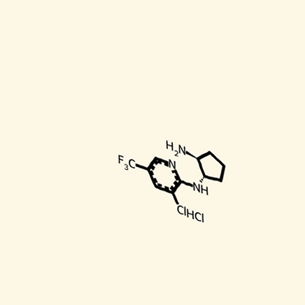 Cl.N[C@H]1CCC[C@@H]1Nc1ncc(C(F)(F)F)cc1Cl